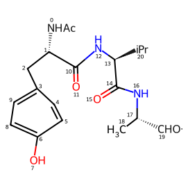 CC(=O)N[C@@H](Cc1ccc(O)cc1)C(=O)N[C@H](C(=O)N[C@@H](C)[C]=O)C(C)C